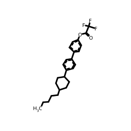 CCCCCC1CCC(c2ccc(-c3ccc(OC(=O)C(F)(F)F)cc3)cc2)CC1